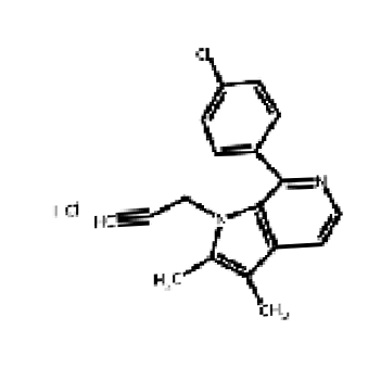 C#CCn1c(C)c(C)c2ccnc(-c3ccc(Cl)cc3)c21.Cl